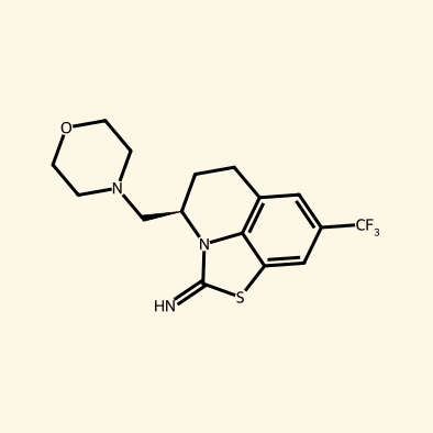 N=c1sc2cc(C(F)(F)F)cc3c2n1[C@@H](CN1CCOCC1)CC3